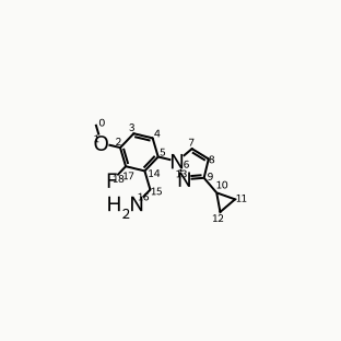 COc1ccc(-n2ccc(C3CC3)n2)c(CN)c1F